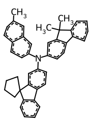 Cc1ccc2ccc(N(c3ccc4c(c3)C(C)(C)c3ccccc3-4)c3ccc4c(c3)C3(CCCC3)c3ccccc3-4)cc2c1